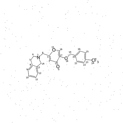 O=c1cc(CN2CCc3ccccc3C2)occ1OCc1ccc(C(F)(F)F)cc1